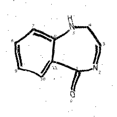 O=C1N=CCNc2ccccc21